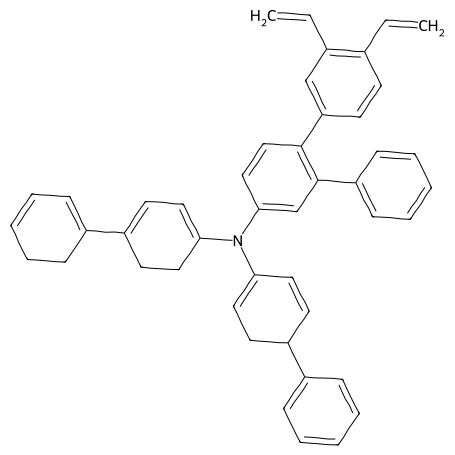 C=Cc1ccc(-c2ccc(N(C3=CCC(c4ccccc4)C=C3)C3=CC=C(C4=CC=CCC4)CC3)cc2-c2ccccc2)cc1C=C